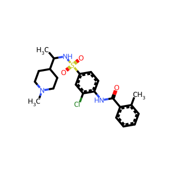 Cc1ccccc1C(=O)Nc1ccc(S(=O)(=O)NC(C)C2CCN(C)CC2)cc1Cl